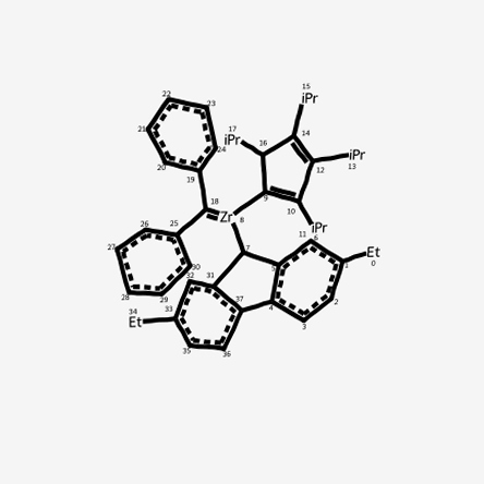 CCc1ccc2c(c1)[CH]([Zr]([C]1=C(C(C)C)C(C(C)C)=C(C(C)C)C1C(C)C)=[C](c1ccccc1)c1ccccc1)c1cc(CC)ccc1-2